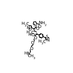 CNCCOCCOCCOC(O)[C@H](CC(C)[C@H](C(=O)N1CCCC1C(N)=O)c1cc(C)no1)c1ccc(-c2scnc2C)cc1